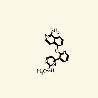 CNc1nccc(-c2cccnc2Oc2cccc3c(N)nccc23)n1